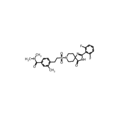 Cc1cc(C(=O)N(C)C)ccc1CCS(=O)(=O)N1CCC2(CC1)N=C(c1c(F)cccc1F)NC2=O